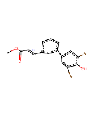 COC(=O)/C=C/c1cccc(-c2cc(Br)c(O)c(Br)c2)c1